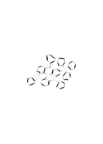 c1ccc(C2c3cccc4c3B3c5c2cc([Si](c2ccccc2)(c2ccccc2)c2ccccc2)cc5N(c2ccccc2)c2cccc(c23)N4c2ccccc2)cc1